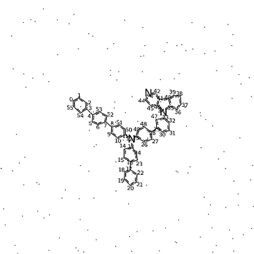 c1ccc(-c2ccc(-c3ccc(N(c4ccc(-c5ccccc5)cc4)c4ccc(-c5cccc(-n6c7ccccc7c7cnccc76)c5)cc4)cc3)cc2)cc1